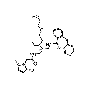 CCN(CCOCCO)[C@@H](CNC(=O)CN1C(=O)C=CC1=O)CNC1=NC2=CCCC=C2Sc2ccccc21